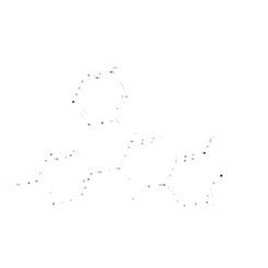 Cc1ccc(-c2nc3cccc(Cl)c3nc2-c2ccccc2)cc1